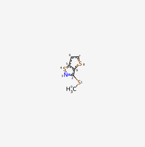 CSc1nsc2ccsc12